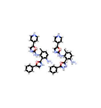 Cc1ccc(N)c(-c2ncc(-c3ccccc3)o2)c1Nc1ncc(-c2ccncc2)o1.Cc1ccc(N)c(-c2nnc(-c3ccccc3)o2)c1Nc1ncc(-c2ccncc2)o1